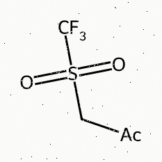 CC(=O)CS(=O)(=O)C(F)(F)F